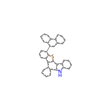 c1ccc2c(c1)cc(-c1cccc3c1sc1c3c3ccccc3c3[nH]c4ccccc4c31)c1ccccc12